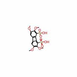 COc1cc2c(c(S(=O)(=O)O)c1OC)-c1c-2cc(OC)c(OC)c1S(=O)(=O)O